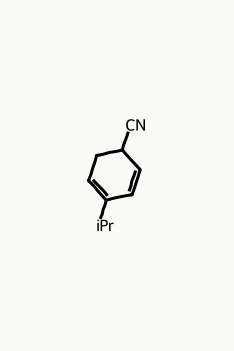 CC(C)C1=CCC(C#N)C=C1